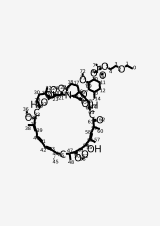 CCOCCOP(C)(=O)O[C@@H]1CCC(C[C@H]2C3CCCN4C(=O)C(=O)C5(O)O[C@@H](CCC5C)C[C@H](OC)/C(C)=C/C=C/C=C/[C@@H](C)CC(C)C(=O)[C@H](OC)C(O)/C(C)=C/C(C)C(=O)C[C@@H]2OC(=O)C34)CC1OC